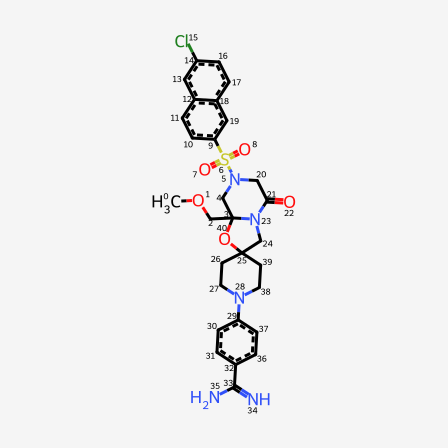 COCC12CN(S(=O)(=O)c3ccc4cc(Cl)ccc4c3)CC(=O)N1CC1(CCN(c3ccc(C(=N)N)cc3)CC1)O2